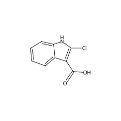 O=C(O)c1c(Cl)[nH]c2ccccc12